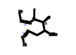 CC/N=C\CC(OC)[C@H](C)N(C)/N=N\C(C)C